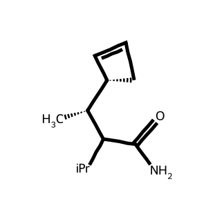 CC(C)C(C(N)=O)[C@H](C)[C@@H]1C=CC1